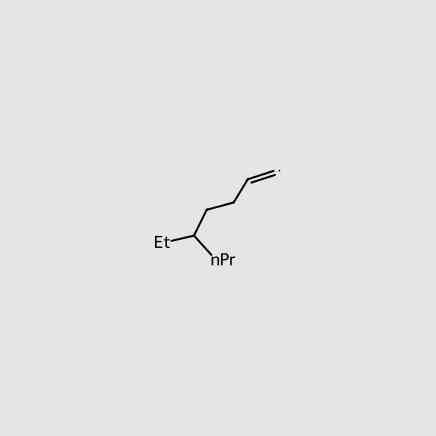 [CH]=CCCC(CC)CCC